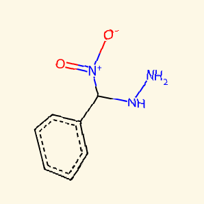 NNC(c1ccccc1)[N+](=O)[O-]